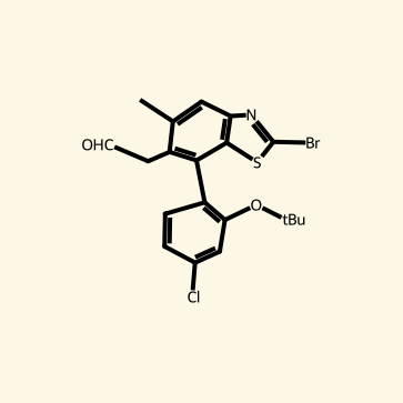 Cc1cc2nc(Br)sc2c(-c2ccc(Cl)cc2OC(C)(C)C)c1CC=O